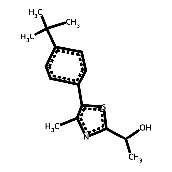 Cc1nc(C(C)O)sc1-c1ccc(C(C)(C)C)cc1